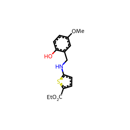 CCOC(=O)c1ccc(NCc2cc(OC)ccc2O)s1